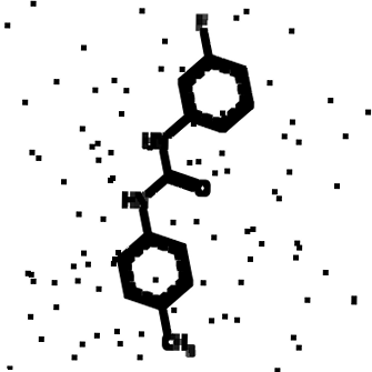 Cc1ccc(NC(=O)Nc2cccc(F)c2)cc1